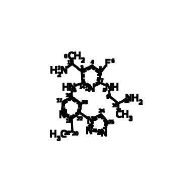 C=C(N)c1cc(F)c(NCC(C)N)nc1Nc1cnc(CC)c(-n2ccnn2)c1